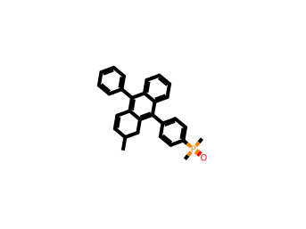 CC1C=Cc2c(c(-c3ccc(P(C)(C)=O)cc3)c3ccccc3c2-c2ccccc2)C1